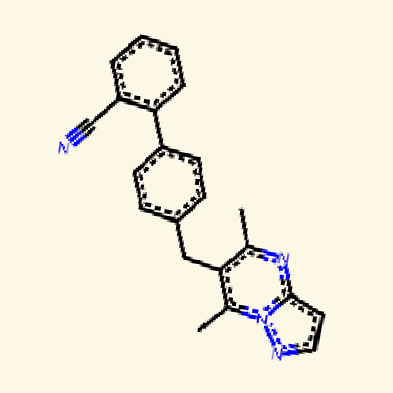 Cc1nc2ccnn2c(C)c1Cc1ccc(-c2ccccc2C#N)cc1